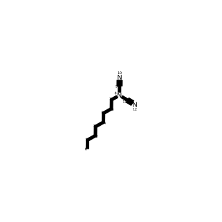 CCCCCCCCN(C#N)C#N